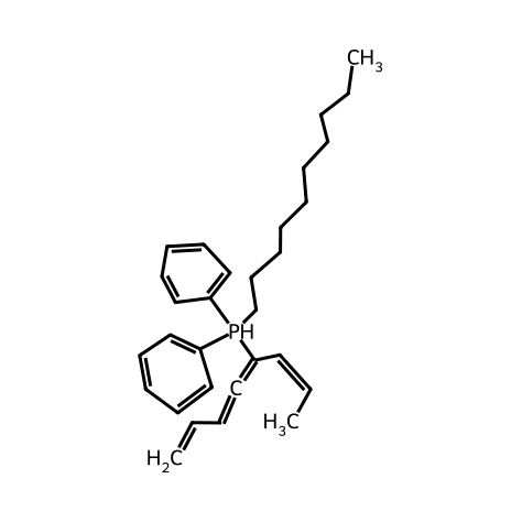 C=CC=C=C(/C=C\C)[PH](CCCCCCCCCC)(c1ccccc1)c1ccccc1